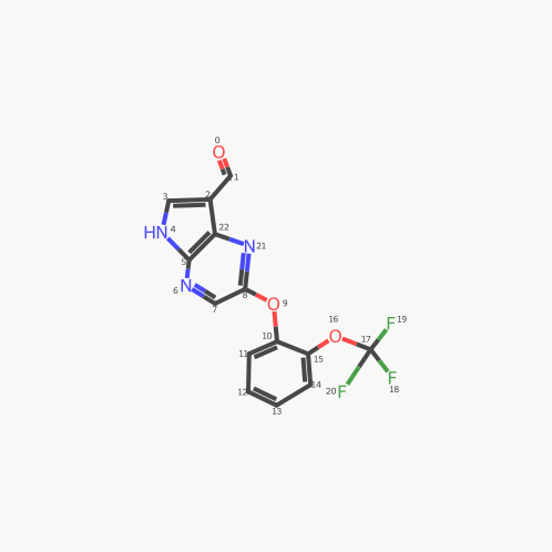 O=[C]c1c[nH]c2ncc(Oc3ccccc3OC(F)(F)F)nc12